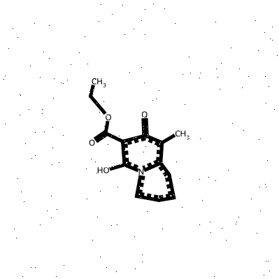 CCOC(=O)c1c(O)n2ccccc2c(C)c1=O